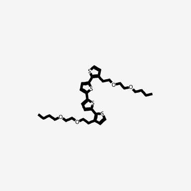 CCCCOCCOCCc1ccsc1-c1ccc(-c2ccc(-c3sccc3CCOCCOCCCC)s2)s1